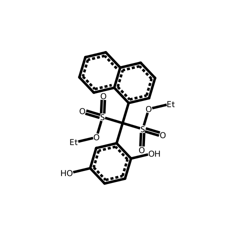 CCOS(=O)(=O)C(c1cc(O)ccc1O)(c1cccc2ccccc12)S(=O)(=O)OCC